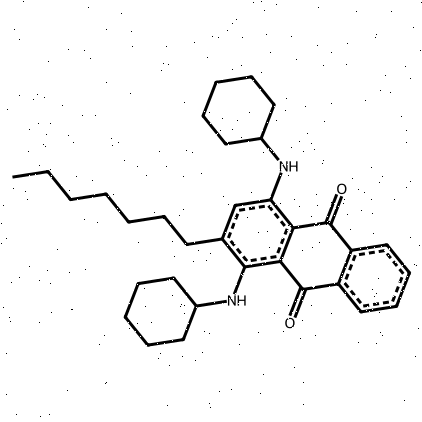 CCCCCCCc1cc(NC2CCCCC2)c2c(c1NC1CCCCC1)C(=O)c1ccccc1C2=O